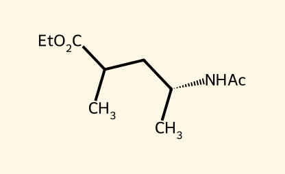 CCOC(=O)C(C)C[C@@H](C)NC(C)=O